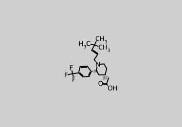 CC(C)(C)C=CCN1CC[C@H](CC(=O)O)C[C@@H]1c1ccc(C(F)(F)F)cc1